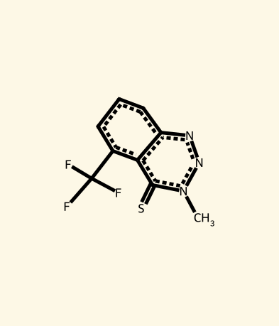 Cn1nnc2cccc(C(F)(F)F)c2c1=S